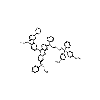 COc1ccc(C(OCCCN(c2ccccc2)c2ccc3c(-c4ccc5c(c4)c4cc(C6=CC=CCC6)ccc4n5C)c4cc/c(=[N+](/CCO)c5ccccc5)cc-4oc3c2)(c2ccccc2)c2ccc(OC)cc2)cc1